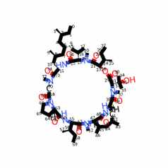 CC[C@H](C)C[C@H](C)C[C@H](C)C[C@@H]1NC(=O)[C@H](C(C)C)N(C)C(=O)[C@@H]([C@H](C)CC)OC(=O)[C@H](C(C)(C)O)N(C)C(=O)[C@@H]2CC(C)CC(C)[C@@H](C(=O)N2)N(C)C(=O)C([C@H](C)CC)NC(=O)[C@@H]2CCCN2C(=O)CN(C)C1=O